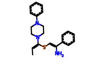 C/C=C(\S/C=C(\N)c1ccccc1)N1CCN(c2ccccc2)CC1